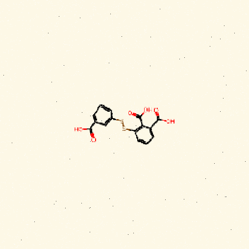 O=C(O)c1cccc(SSc2cccc(C(=O)O)c2C(=O)O)c1